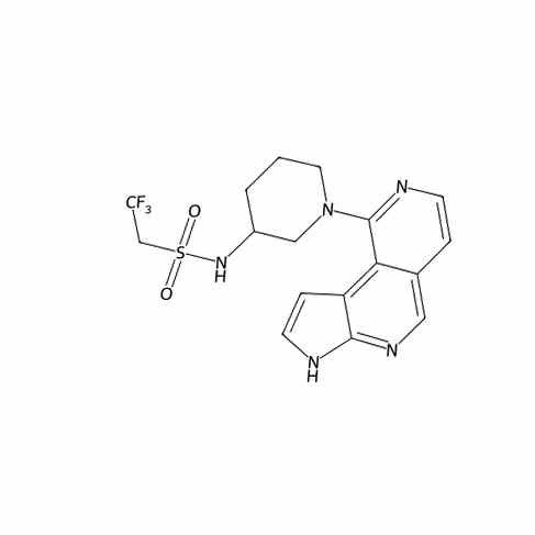 O=S(=O)(CC(F)(F)F)NC1CCCN(c2nccc3cnc4[nH]ccc4c23)C1